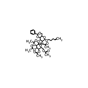 C=CCCCOC1OC2COC(c3ccccc3)OC2C(OC2OC(COC(C)=O)C(OC(C)=O)C(OC(C)=O)C2OC(C)=O)C1NC(C)=O